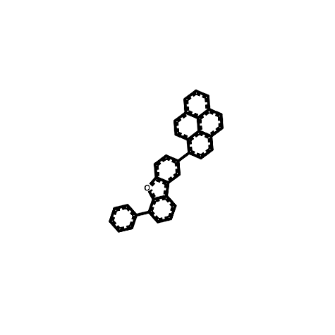 c1ccc(-c2cccc3c2oc2ccc(-c4ccc5ccc6cccc7ccc4c5c67)cc23)cc1